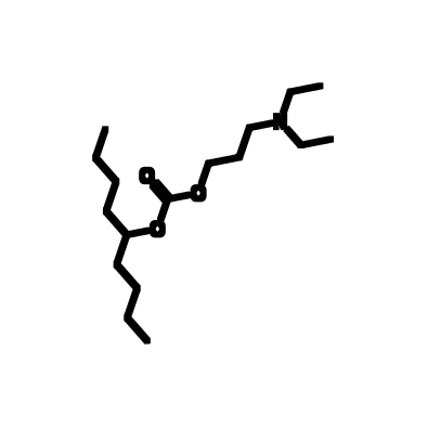 CCCCC(CCCC)OC(=O)OCCCN(CC)CC